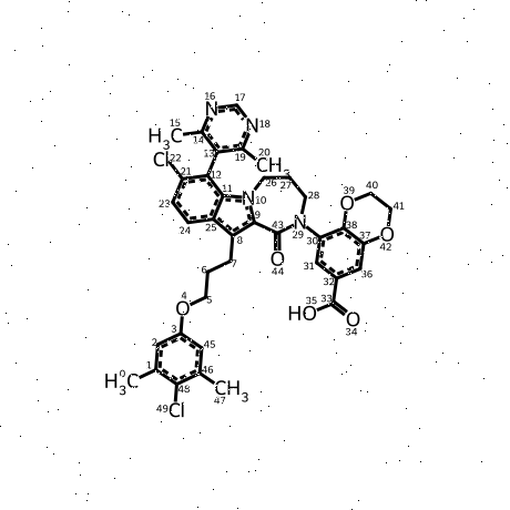 Cc1cc(OCCCc2c3n(c4c(-c5c(C)ncnc5C)c(Cl)ccc24)CCCN(c2cc(C(=O)O)cc4c2OCCO4)C3=O)cc(C)c1Cl